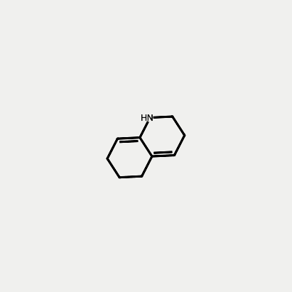 C1=C2CCCC=C2NCC1